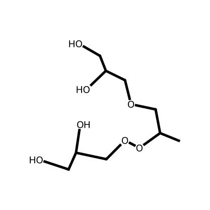 CC(COCC(O)CO)OOCC(O)CO